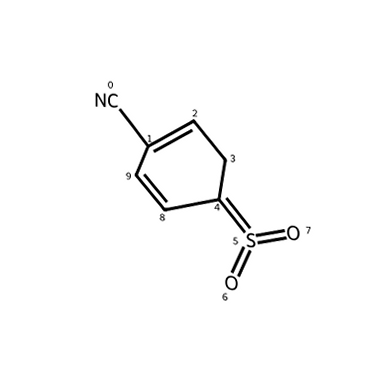 N#CC1=CCC(=S(=O)=O)C=C1